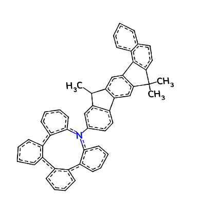 CC1c2cc(-n3c4ccccc4c4ccccc4c4ccccc4c4ccccc43)ccc2-c2cc3c(cc21)-c1c(ccc2ccccc12)C3(C)C